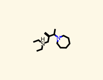 C=C(C[SiH](CC)CC)C(C)N1CCCCCC1